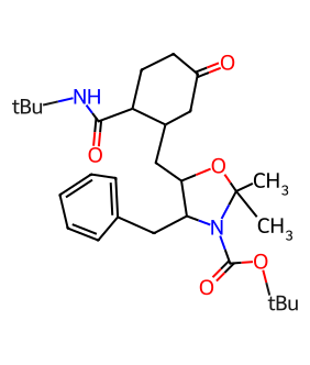 CC(C)(C)NC(=O)C1CCC(=O)CC1CC1OC(C)(C)N(C(=O)OC(C)(C)C)C1Cc1ccccc1